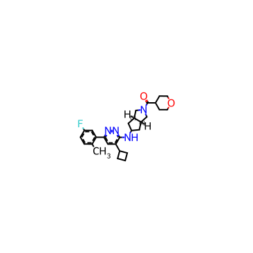 Cc1ccc(F)cc1-c1cc(C2CCC2)c(NC2C[C@@H]3CN(C(=O)C4CCOCC4)C[C@@H]3C2)nn1